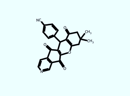 CC1(C)CC(=O)C2=C(C1)OC1=C(C(=O)c3ccncc3C1=O)C2c1ccc(C#N)cc1